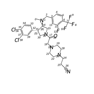 CN(Cc1ccc(C(F)(F)F)c(F)c1)[C@H]1CN(C(=O)CN2CCN(CCC#N)CC2)C[C@@H]1c1ccc(Cl)c(Cl)c1